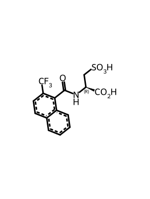 O=C(N[C@@H](CS(=O)(=O)O)C(=O)O)c1c(C(F)(F)F)ccc2ccccc12